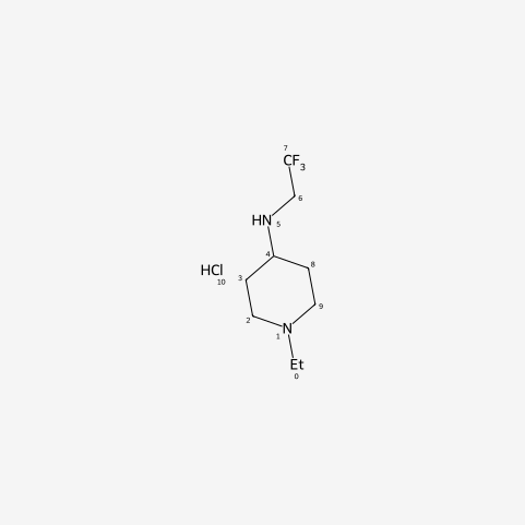 CCN1CCC(NCC(F)(F)F)CC1.Cl